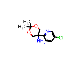 CC1(C)OCC(N)(c2ccc(Cl)cn2)CO1